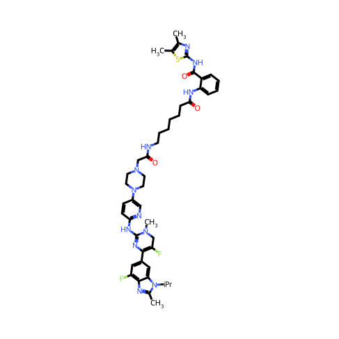 Cc1nc(NC(=O)c2ccccc2NC(=O)CCCCCCNC(=O)CN2CCN(c3ccc(NC4=NC(c5cc(F)c6nc(C)n(C(C)C)c6c5)=C(F)CN4C)nc3)CC2)sc1C